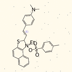 CC[N+]1(OS(=O)(=O)c2ccc(C)cc2)c2c(ccc3ccccc23)SC1/C=C/c1ccc(N(C)C)cc1